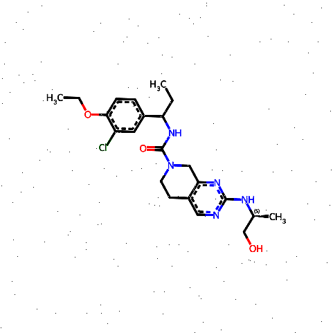 CCOc1ccc(C(CC)NC(=O)N2CCc3cnc(N[C@@H](C)CO)nc3C2)cc1Cl